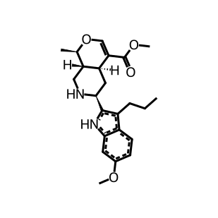 CCCc1c([C@@H]2C[C@@H]3C(C(=O)OC)=CO[C@H](C)[C@H]3CN2)[nH]c2cc(OC)ccc12